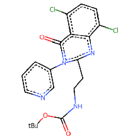 CC(C)(C)OC(=O)NCCc1nc2c(Cl)ccc(Cl)c2c(=O)n1-c1cccnc1